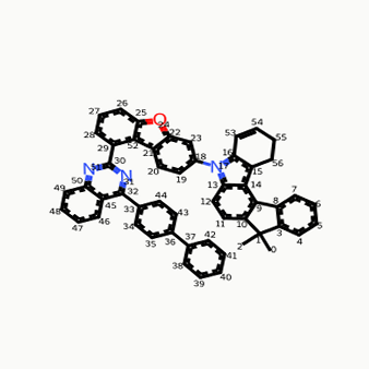 CC1(C)c2ccccc2-c2c1ccc1c2c2c(n1-c1ccc3c(c1)oc1cccc(-c4nc(-c5ccc(-c6ccccc6)cc5)c5ccccc5n4)c13)C=CCC2